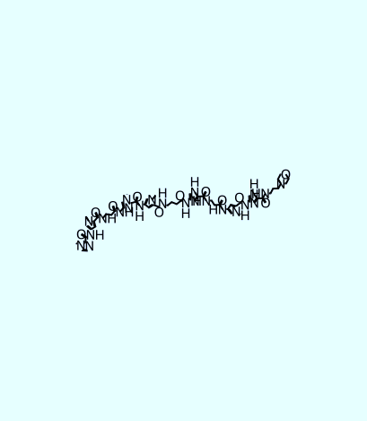 Cn1cc(NC(=O)c2nc(NC(=O)CCNC(=O)c3cc(NC(=O)c4nccn4C)cn3C)cn2C)cc1C(=O)NCCCC(=O)Nc1c[nH]c(C(=O)NCCC(=O)Nc2cc(C(=O)Nc3c[nH]c(C(=O)NCCCN4CCOCC4)n3)n(C)c2)n1